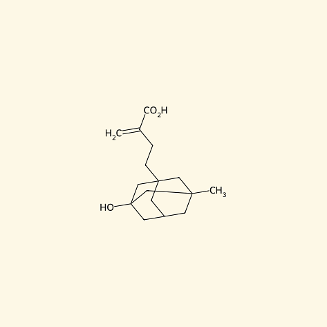 C=C(CCC12CC3CC(C)(CC(O)(C3)C1)C2)C(=O)O